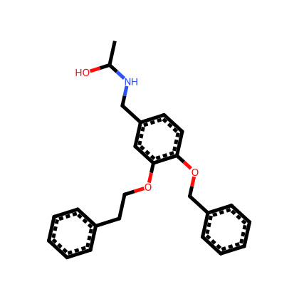 CC(O)NCc1ccc(OCc2ccccc2)c(OCCc2ccccc2)c1